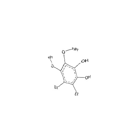 CCCOc1c(O)c(O)c(CC)c(CC)c1OCCC